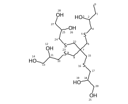 CCC(O)CSCC(CSCC(O)CO)(CSCC(O)CO)CSCC(O)CO